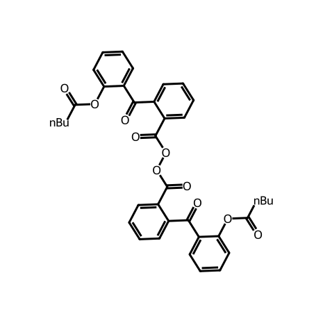 CCCCC(=O)Oc1ccccc1C(=O)c1ccccc1C(=O)OOC(=O)c1ccccc1C(=O)c1ccccc1OC(=O)CCCC